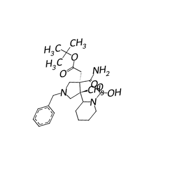 CC(C)(C)OC(=O)C[C@@]1(C(N)=O)CN(Cc2ccccc2)C[C@@]1(C)C1CCCCN1C(=O)O